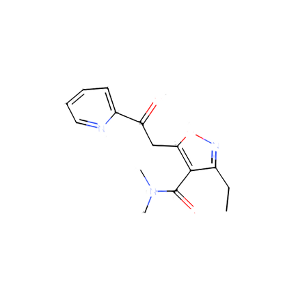 CCc1noc(CC(=O)c2ccccn2)c1C(=O)N(C)C